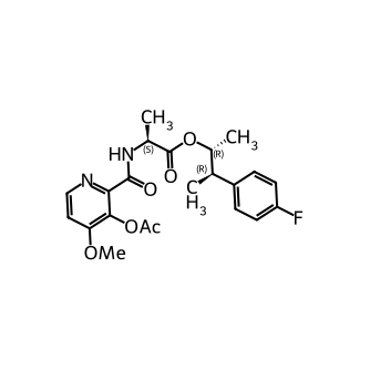 COc1ccnc(C(=O)N[C@@H](C)C(=O)O[C@H](C)[C@H](C)c2ccc(F)cc2)c1OC(C)=O